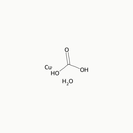 O.O=C(O)O.[Cu]